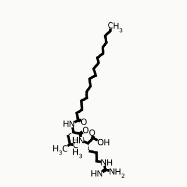 CCCCCCCCCCCCCCCCCC(=O)N[C@@H](CC(C)C)C(=O)N[C@@H](CCCNC(=N)N)C(=O)O